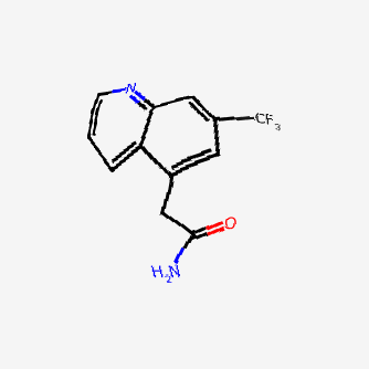 NC(=O)Cc1cc(C(F)(F)F)cc2ncccc12